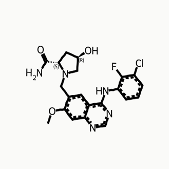 COc1cc2ncnc(Nc3cccc(Cl)c3F)c2cc1CN1C[C@H](O)C[C@H]1C(N)=O